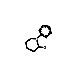 ClC1CCCCN1c1ccccc1